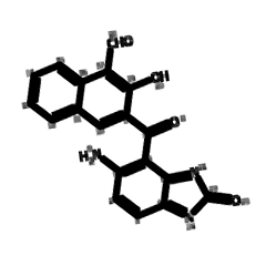 Nc1ccc2c(c1C(=O)c1cc3ccccc3c(C=O)c1O)=NC(=O)N=2